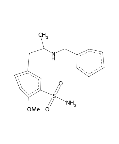 COc1ccc(CC(C)NCc2ccccc2)cc1S(N)(=O)=O